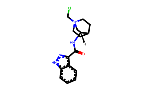 O=C(N[C@@H]1C[N+]2(CCl)CCC1CC2)c1n[nH]c2ccccc12